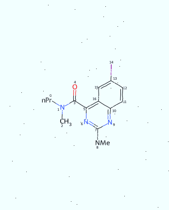 CCCN(C)C(=O)c1nc(NC)nc2ccc(I)cc12